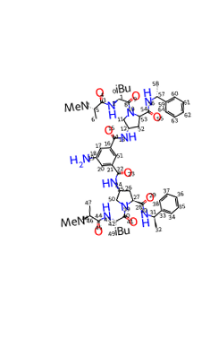 CC[C@H](C)[C@H](NC(=O)[C@H](C)NC)C(=O)N1C[C@@H](NC(=O)c2cc(N)cc(C(=O)N[C@H]3C[C@@H](C(=O)N[C@H](C)c4ccccc4)N(C(=O)[C@@H](NC(=O)[C@H](C)NC)[C@@H](C)CC)C3)c2)CC1C(=O)N[C@H](C)c1ccccc1